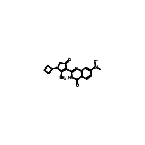 C[S+]([O-])c1ccc2c(=O)[nH]c(C3=C(N)N(C4CCC4)CC3=O)nc2c1